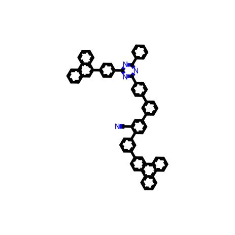 N#Cc1cc(-c2cccc(-c3ccc(-c4nc(-c5ccccc5)nc(-c5ccc(-c6cc7ccccc7c7ccccc67)cc5)n4)cc3)c2)ccc1-c1cccc(-c2ccc3c4ccccc4c4ccccc4c3c2)c1